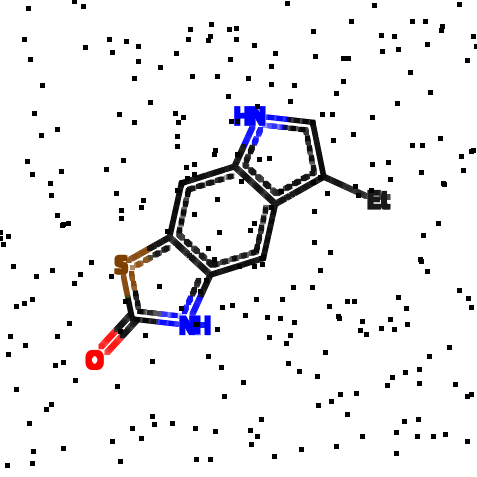 CCc1c[nH]c2cc3sc(=O)[nH]c3cc12